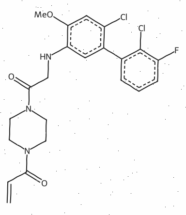 C=CC(=O)N1CCN(C(=O)CNc2cc(-c3cccc(F)c3Cl)c(Cl)cc2OC)CC1